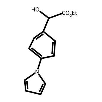 CCOC(=O)C(O)c1ccc(-n2cccc2)cc1